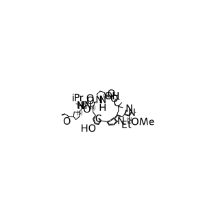 C=CC(=O)C1CC[C@H](C(=O)N(C)[C@H](C(=O)N[C@H]2Cc3cc(O)cc(c3)-c3ccc4c(c3)c(c(-c3cnn(C)c3[C@H](C)OC)n4CC)CC(C)(C)COC(=O)[C@@]3(O)CCCN(N3)C2=O)C(C)C)C1